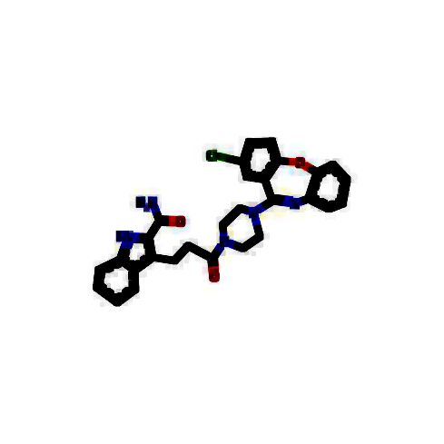 NC(=O)c1[nH]c2ccccc2c1C[CH]C(=O)N1CCN(C2=Nc3ccccc3Oc3ccc(Cl)cc32)CC1